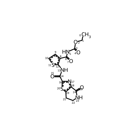 CCOC(=O)NC(=O)c1ccsc1NC(=O)c1nc2c(s1)CCNC2=O